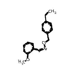 C=Cc1ccc(CO/N=[C]\c2ccccc2OC)cc1